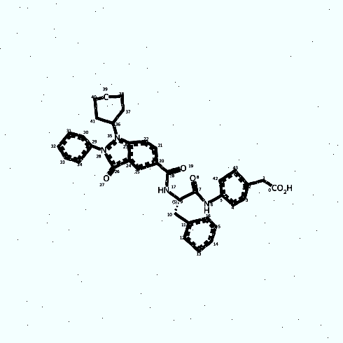 O=C(O)Cc1ccc(NC(=O)[C@H](Cc2ccccc2)NC(=O)c2ccc3c(c2)c(=O)n(-c2ccccc2)n3C2CCCCC2)cc1